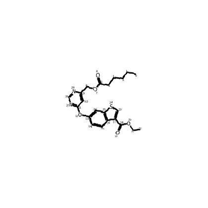 CCCCCC(=O)OCc1cc(Oc2ccc3c(C(=O)OCC)csc3c2)ncn1